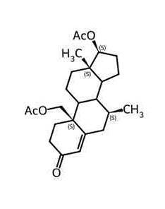 CC(=O)OC[C@]12CCC(=O)C=C1C[C@H](C)C1C2CC[C@@]2(C)C1CC[C@@H]2OC(C)=O